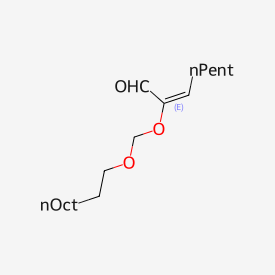 CCCCC/C=C(\C=O)OCOCCCCCCCCCC